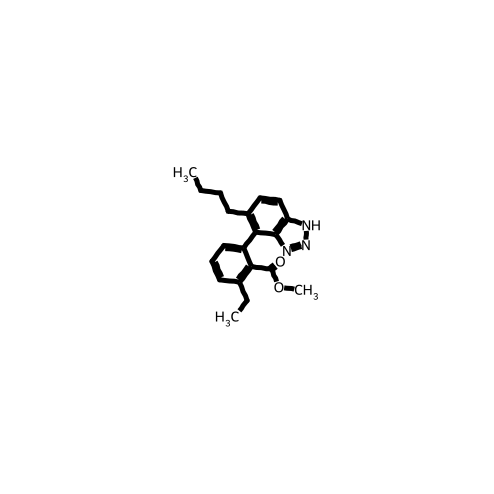 CCCCc1ccc2[nH]nnc2c1-c1cccc(CC)c1C(=O)OC